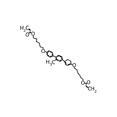 C=CC(=O)OCCCCCCOC1=CC=C(c2ccc(-c3ccc(OCCCCCCOC(=O)C=C)cc3)c(C)c2)CC1